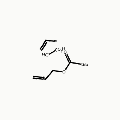 C=CC.C=CCOC(=O)C(C)(C)C.O=C(O)O